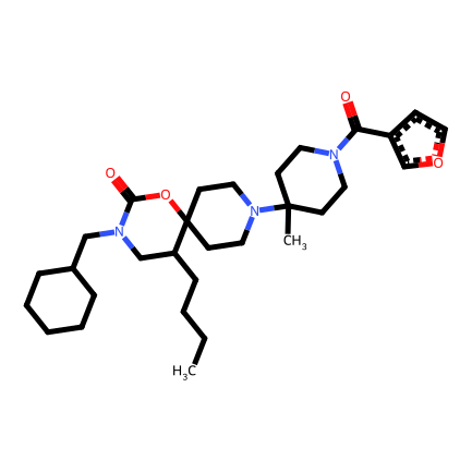 CCCCC1CN(CC2CCCCC2)C(=O)OC12CCN(C1(C)CCN(C(=O)c3ccoc3)CC1)CC2